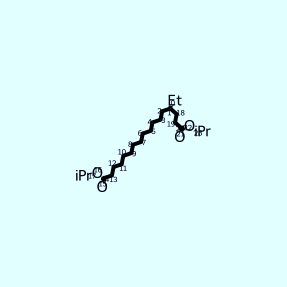 CCC(CCCCCCCCCCCCC(=O)OC(C)C)CCC(=O)OC(C)C